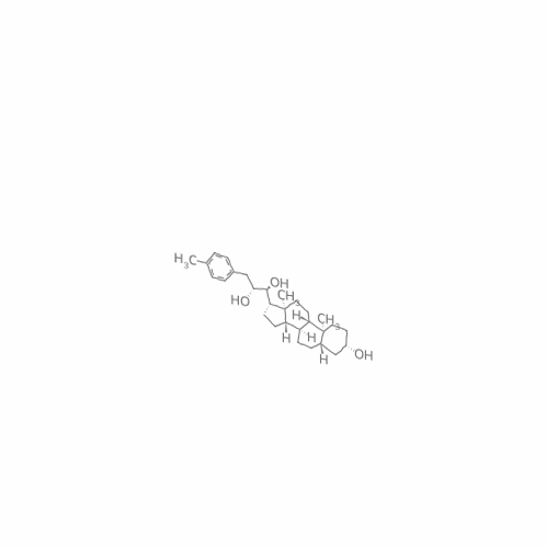 Cc1ccc(C[C@@H](O)[C@@H](O)[C@H]2CC[C@H]3[C@@H]4CC[C@H]5C[C@@H](O)CC[C@]5(C)[C@H]4CC[C@]23C)cc1